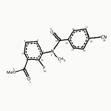 COC(=O)c1cccc(N(C)C(=O)c2ccc(C#N)cc2)c1F